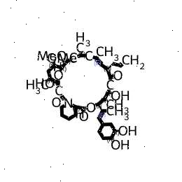 C=CC[C@@H]1/C=C(\C)C[C@H](C)C[C@H](OC)[C@H]2O[C@@](O)(CC(=O)N3CCCC[C@H]3C(=O)O[C@H](/C(C)=C/C3CC[C@@H](O)[C@H](O)C3)[C@H](C)[C@H](O)CC1=O)[C@H](C)C[C@@H]2OC